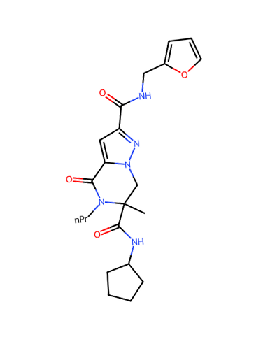 CCCN1C(=O)c2cc(C(=O)NCc3ccco3)nn2CC1(C)C(=O)NC1CCCC1